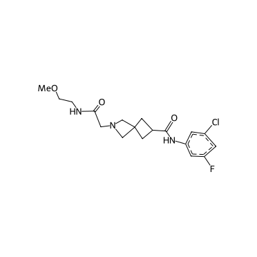 COCCNC(=O)CN1CC2(CC(C(=O)Nc3cc(F)cc(Cl)c3)C2)C1